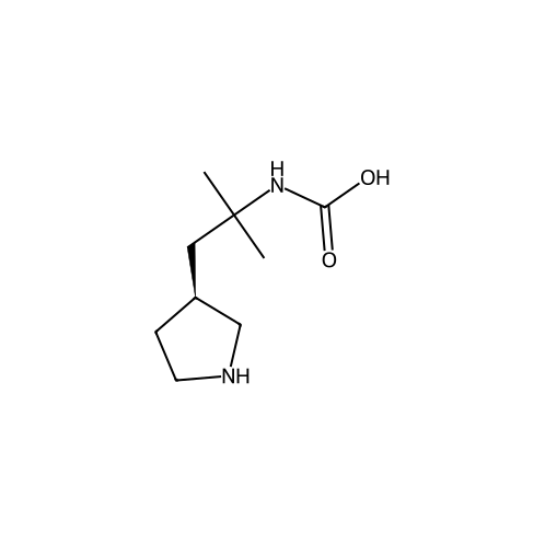 CC(C)(C[C@@H]1CCNC1)NC(=O)O